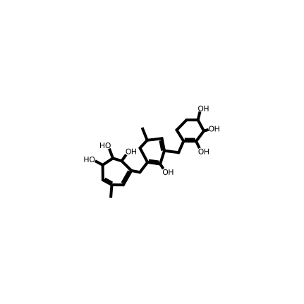 CC1=CC(O)C(O)C(O)C(CC2=C(O)C(CC3=C(O)C(O)C(O)CC3)=CC(C)C2)=C1